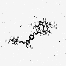 C[n+]1cc(-c2ccc(OCC(ON=C(C(=O)O)c3nsc(NC(=O)OC(C)(C)C)n3)C(=O)OC(C)(C)C)cc2)cn1CCCNC(=O)OC(C)(C)C.[I-]